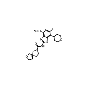 COc1nc(F)c(C2CCOCC2)c2sc(NC(=O)N3CC[C@]4(CCOC4)C3)nc12